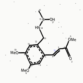 COC(=O)/C=C/c1cc(OC)c(OC)cc1CNB(C)O